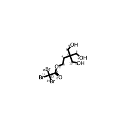 O=C(OCCC(CO)(CO)CO)C(Br)(Br)Br